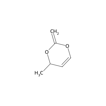 C=C1OC=CC(C)O1